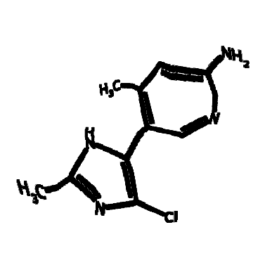 Cc1nc(Cl)c(-c2cnc(N)cc2C)[nH]1